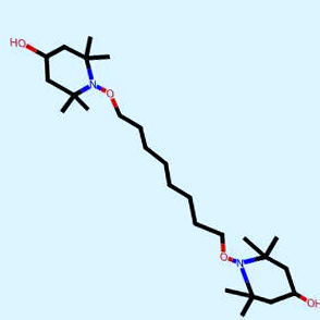 CC1(C)CC(O)CC(C)(C)N1OCCCCCCCCON1C(C)(C)CC(O)CC1(C)C